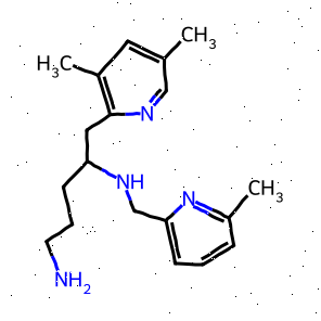 Cc1cnc(CC(CCCN)NCc2cccc(C)n2)c(C)c1